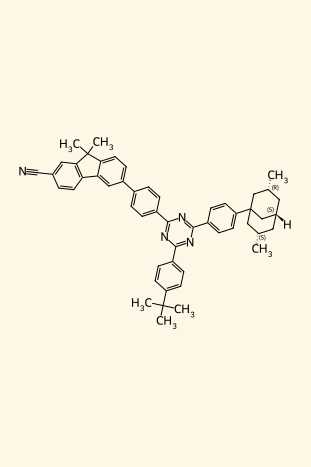 C[C@@H]1C[C@@H]2C[C@H](C)CC(c3ccc(-c4nc(-c5ccc(-c6ccc7c(c6)-c6ccc(C#N)cc6C7(C)C)cc5)nc(-c5ccc(C(C)(C)C)cc5)n4)cc3)(C1)C2